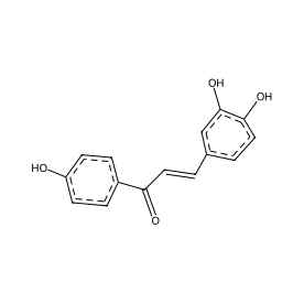 O=C(C=Cc1ccc(O)c(O)c1)c1ccc(O)cc1